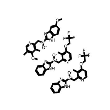 COc1ccc2[nH]c([S+]([O-])Cc3ncc(C)c(OC)c3C)nc2c1.Cc1c(OCC(F)(F)F)ccnc1C[S+]([O-])c1nc2ccccc2[nH]1.Cc1c(OCC(F)(F)F)ccnc1C[S+]([O-])c1nc2ccccc2[nH]1